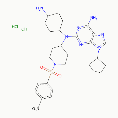 Cl.Cl.Nc1nc(N(C2CCC(N)CC2)C2CCN(S(=O)(=O)c3ccc([N+](=O)[O-])cc3)CC2)nc2c1ncn2C1CCCC1